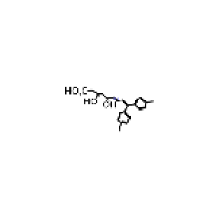 Cc1ccc(C(=C/C=C/[C@@H](O)C[C@@H](O)CC(=O)O)c2ccc(C)cc2)cc1